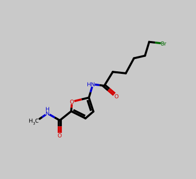 CNC(=O)c1ccc(NC(=O)CCCCCBr)o1